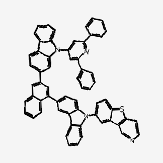 c1ccc(-c2cc(-n3c4ccccc4c4ccc(-c5cc(-c6ccc7c(c6)c6ccccc6n7-c6ccc7sc8ccncc8c7c6)c6ccccc6c5)cc43)cc(-c3ccccc3)n2)cc1